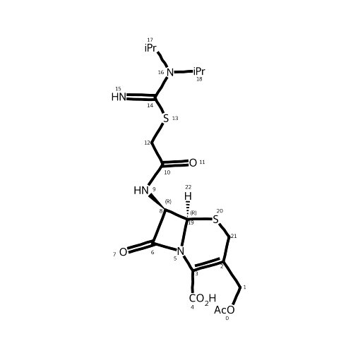 CC(=O)OCC1=C(C(=O)O)N2C(=O)[C@@H](NC(=O)CSC(=N)N(C(C)C)C(C)C)[C@H]2SC1